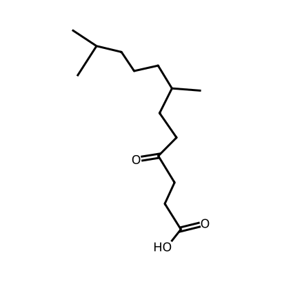 CC(C)CCCC(C)CCC(=O)CCC(=O)O